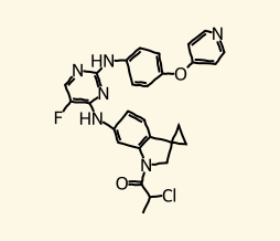 CC(Cl)C(=O)N1CC2(CC2)c2ccc(Nc3nc(Nc4ccc(Oc5ccncc5)cc4)ncc3F)cc21